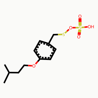 CC(C)CCOc1ccc(CSOS(=O)(=O)O)cc1